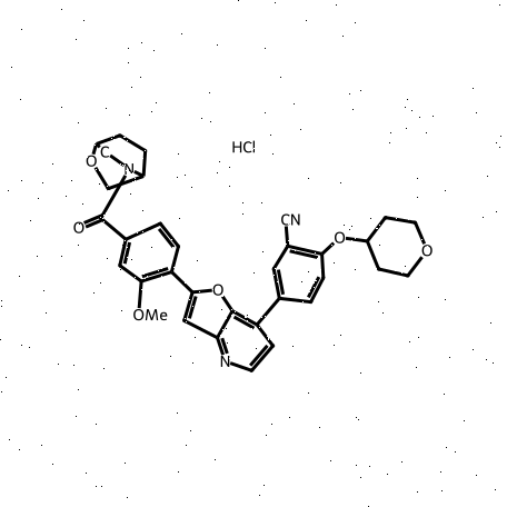 COc1cc(C(=O)N2CC3CCC2CO3)ccc1-c1cc2nccc(-c3ccc(OC4CCOCC4)c(C#N)c3)c2o1.Cl